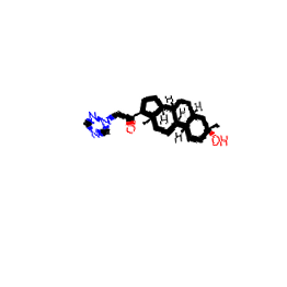 C[C@@]1(O)CC[C@H]2[C@@H](CC[C@@H]3[C@@H]2CC[C@]2(C)[C@@H](C(=O)Cn4cncn4)CC[C@@H]32)C1